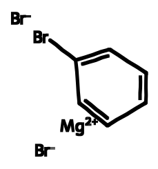 Brc1ccccc1.[Br-].[Br-].[Mg+2]